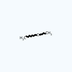 CCCCC=CCC=CCCCCCCC